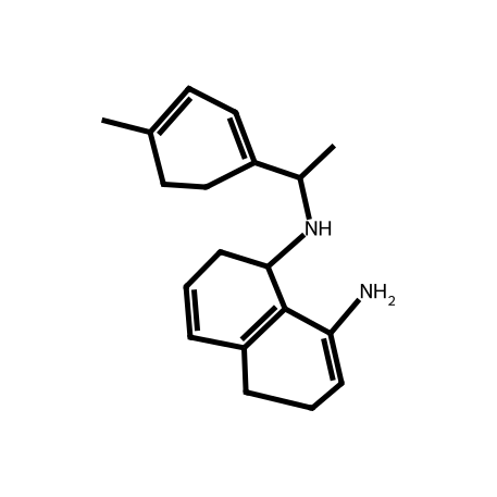 CC1=CC=C(C(C)NC2CC=CC3=C2C(N)=CCC3)CC1